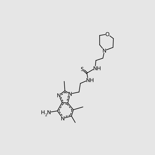 Cc1nc(N)c2nc(C)n(CCNC(=S)NCCN3CCOCC3)c2c1C